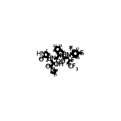 O=C(N[C@@H](C[C@@H]1CCNC1=O)C(O)C(=O)N1CCC1)C1C2CCCC2CN1C(=O)[C@@H](CCC(F)(F)F)Nc1c(F)cc(F)cc1F